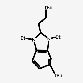 CCN1c2ccc(C(C)(C)C)cc2N(CC)C1CCC(C)(C)C